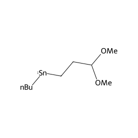 CCC[CH2][Sn][CH2]CC(OC)OC